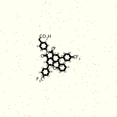 O=C(O)Cc1ccc(-n2c(=O)c3cc(-c4ccc(C(F)(F)F)cc4)c4oc5ccccc5c5c(-c6ccc(C(F)(F)F)cc6)cc(c2=O)c3c45)cc1